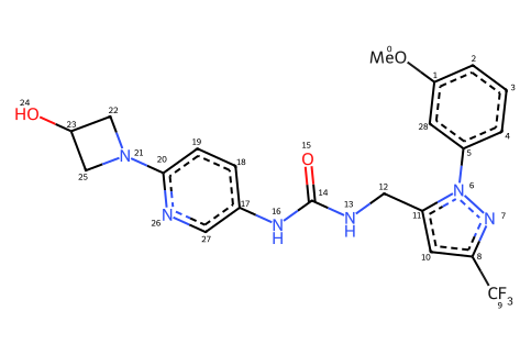 COc1cccc(-n2nc(C(F)(F)F)cc2CNC(=O)Nc2ccc(N3CC(O)C3)nc2)c1